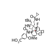 COc1cc(C(=O)O)ccc1NC(=O)[C@@H]1N[C@@H](CC(C)(C)C)[C@](CCNC(=O)C2CC2)(c2ccc(Cl)cc2F)[C@H]1c1cccc(Cl)c1F